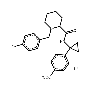 O=C([O-])c1ccc(C2(NC(=O)C3CCCCN3Cc3ccc(Cl)cc3)CC2)cc1.[Li+]